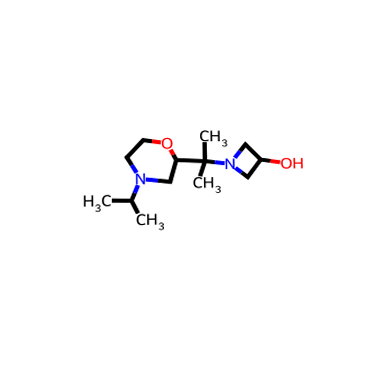 CC(C)N1CCOC(C(C)(C)N2CC(O)C2)C1